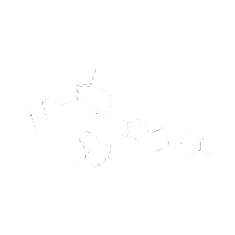 CC(C)(OCc1cc(F)cc(-c2cc(NC(=O)[C@@H]3CNC(=O)C3)nn2-c2ccc(F)cc2)c1)C(F)(F)F